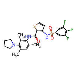 Cc1cc(C)c(N2CCCC2)c(C)c1NC(=O)c1sccc1NS(=O)(=O)c1cc(F)c(F)c(F)c1